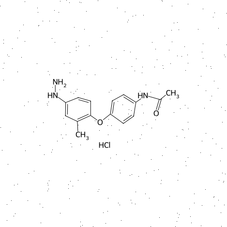 CC(=O)Nc1ccc(Oc2ccc(NN)cc2C)cc1.Cl